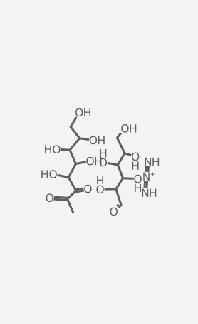 CC(=O)C(=O)C(O)C(O)C(O)C(O)CO.N=[N+]=N.O=CC(O)C(O)C(O)C(O)CO